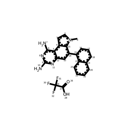 Cn1ccc2c3c(N)nc(N)nc3cc(-c3cccc4ccccc34)c21.O=C(O)C(F)(F)F